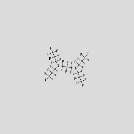 FC(F)(F)C(F)(F)C(F)(F)N(C(F)(F)C(F)(F)C(F)(F)F)C(F)(F)C(F)(F)C(F)(F)N(C(F)(F)C(F)(F)C(F)(F)F)C(F)(F)C(F)(F)C(F)(F)F